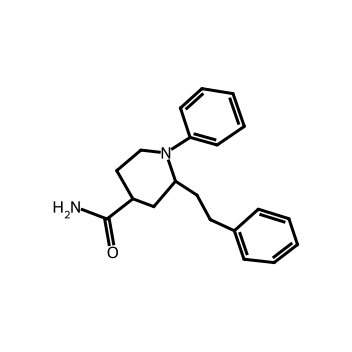 NC(=O)C1CCN(c2ccccc2)C(CCc2ccccc2)C1